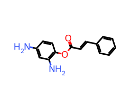 Nc1ccc(OC(=O)C=Cc2ccccc2)c(N)c1